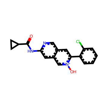 O=C(Nc1cc2c[n+](O)c(-c3ccccc3Cl)cc2cn1)C1CC1